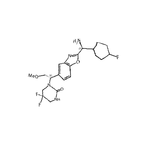 COC[C@H](c1ccc2oc([C@@H](N)C3CCC(F)CC3)nc2c1)N1CC(F)(F)CNC1=O